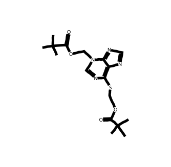 CC(C)(C)C(=O)OCSc1ncn(COC(=O)C(C)(C)C)c2ncnc1-2